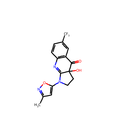 Cc1cc(N2CCC3(O)C(=O)c4cc(C(F)(F)F)ccc4N=C23)on1